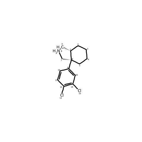 C[C@@H]1CCCC[C@@]1(CN)c1ccc(Cl)c(Cl)c1